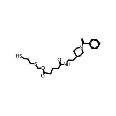 C=C(c1ccccc1)N1CCC(CCNC(=O)CCCC(=O)OCSCCCS)CC1